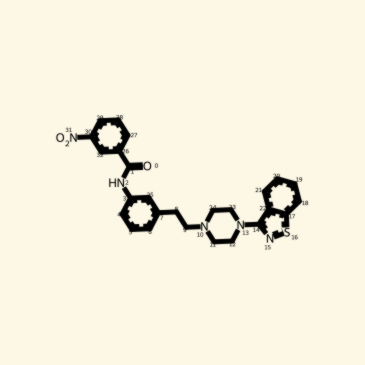 O=C(Nc1cccc(CCN2CCN(c3nsc4ccccc34)CC2)c1)c1cccc([N+](=O)[O-])c1